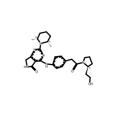 C[C@@H]1CCC[C@H](C)N1c1nc2c(c(Nc3ccc(CC(=O)N4CCC[C@H]4CCO)cc3)n1)C(=O)NC2